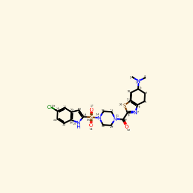 CN(C)C1CCc2nc(C(=O)N3CCN(S(=O)(=O)c4cc5cc(Cl)ccc5[nH]4)CC3)sc2C1